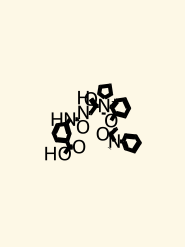 CN(C(=O)COc1ccccc1[N+](C)(C(=O)CNC(=O)Nc1cccc(C(=O)O)c1)C1CCCC1)c1ccccc1